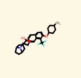 CC1CCC(Oc2ccc3ccc(CCN4C5CCC4CC(C(=O)O)C5)cc3c2C(F)(F)F)CC1